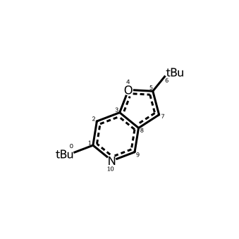 CC(C)(C)c1cc2oc(C(C)(C)C)cc2cn1